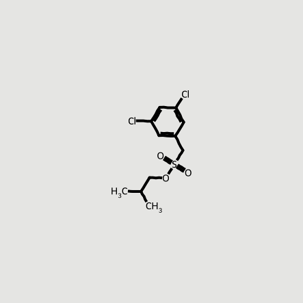 CC(C)COS(=O)(=O)Cc1cc(Cl)cc(Cl)c1